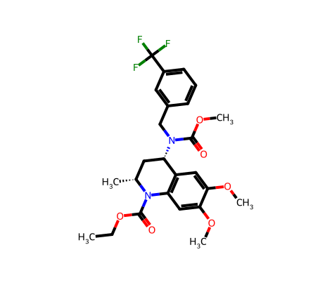 CCOC(=O)N1c2cc(OC)c(OC)cc2[C@@H](N(Cc2cccc(C(F)(F)F)c2)C(=O)OC)C[C@H]1C